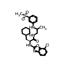 CC(CNC(=O)[C@H](CC1CCCCC1)Nc1nc2cccc(Cl)c2o1)Nc1cccc(S(C)(=O)=O)c1